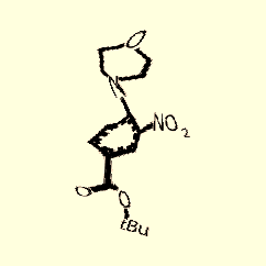 CC(C)(C)OC(=O)c1ccc(N2CCOCC2)c([N+](=O)[O-])c1